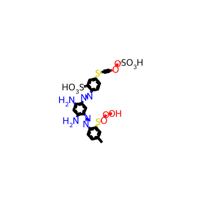 Cc1ccc(N=Nc2cc(N=Nc3ccc(SC#COOS(=O)(=O)O)cc3S(=O)(=O)O)c(N)cc2N)c(SOOO)c1